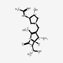 CC(=N)N[C@@H]1CN(CC2=C(C(=O)O)N3C(=O)[C@H]([C@@H](C)O)[C@H]3[C@H]2C)C[C@H]1O